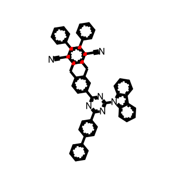 N#Cc1c(-c2ccccc2)ccc2c1C1c3ccc(-c4nc(-c5ccc(-c6ccccc6)cc5)nc(-n5c6ccccc6c6ccccc65)n4)cc3C2c2c1ccc(-c1ccccc1)c2C#N